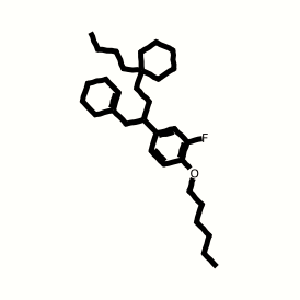 CCCCCCOc1ccc(C(CCC2(CCCC)CCCCC2)CC2=CCCCC2)cc1F